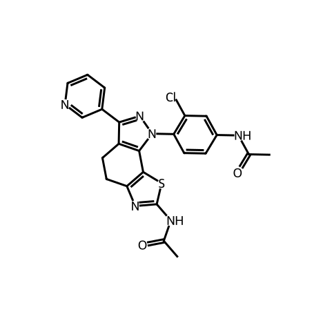 CC(=O)Nc1ccc(-n2nc(-c3cccnc3)c3c2-c2sc(NC(C)=O)nc2CC3)c(Cl)c1